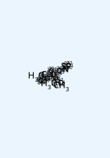 CC1(C)c2ccccc2-c2cc3c(-c4ccc(-c5nc6ccccc6s5)cc4)c4ccccc4c(-c4ccc5c(c4)C(C)(C)C4C=CC=CC54)c3cc21